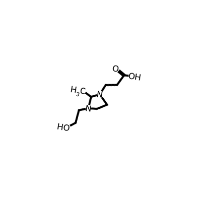 CC1N(CCO)CCN1CCC(=O)O